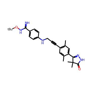 Cc1cc(C2=NNC(=O)C2(C)C)c(C)cc1C#CCNc1ccc(C(=N)NOC(C)(C)C)cc1